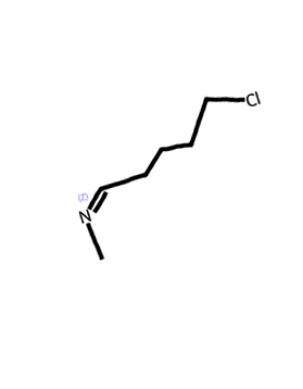 C/N=C\CCCCCl